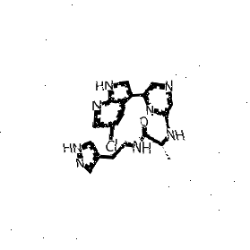 C[C@@H](Nc1cncc(-c2c[nH]c3ncc(Cl)cc23)n1)C(=O)NCCc1cn[nH]c1